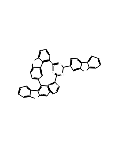 c1ccc(C2=NC(c3cccc4oc5ccc(-c6cccc7sc8ccccc8c67)cc5c34)=NC(c3ccc4c(c3)sc3ccccc34)N2)cc1